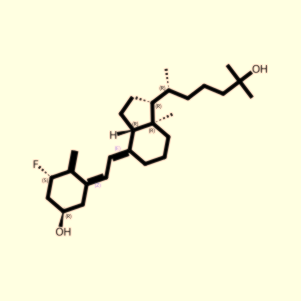 C=C1/C(=C\C=C2/CCC[C@]3(C)[C@@H]([C@H](C)CCCC(C)(C)O)CC[C@@H]23)C[C@@H](O)C[C@@H]1F